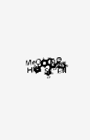 COc1cc2c(cc1-c1cc[nH]n1)-c1c(-c3cccs3)cc(C(=O)N3CCC[C@]3(C)C#N)n1CC2